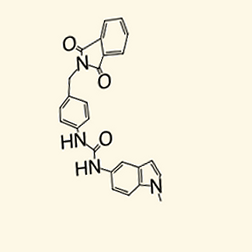 Cn1ccc2cc(NC(=O)Nc3ccc(CN4C(=O)c5ccccc5C4=O)cc3)ccc21